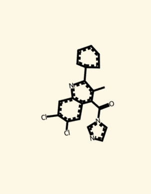 Cc1c(-c2ccccc2)nc2cc(Cl)c(Cl)cc2c1C(=O)n1ccnc1